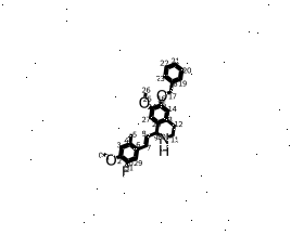 COc1cc(C)c(C=CC2NCCc3cc(OCc4ccccc4)c(OC)cc32)cc1F